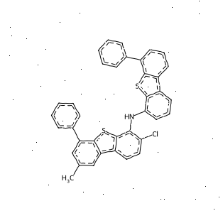 Cc1cc(-c2ccccc2)c2sc3c(Nc4cccc5c4sc4c(-c6ccccc6)cccc45)c(Cl)ccc3c2c1